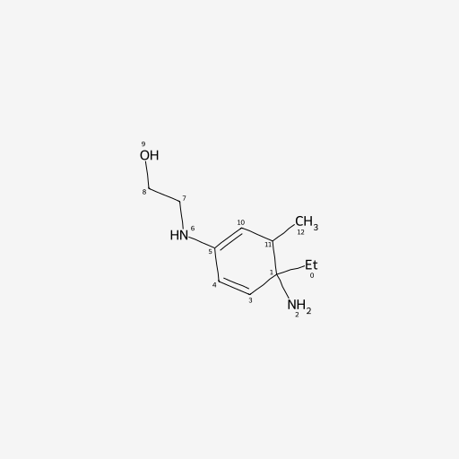 CCC1(N)C=CC(NCCO)=CC1C